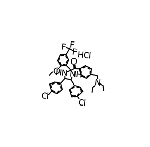 CCOc1ccc(C(F)(F)F)cc1C1(C(=O)c2ccc(CN(CC)CC)cc2)NC(c2ccc(Cl)cc2)C(c2ccc(Cl)cc2)N1.Cl